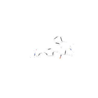 Cc1ccccc1C1c2c(C(C)(C)C)n[nH]c2C(=O)N1c1ccc(-c2cc(CO)no2)cc1